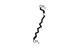 CC=CCCCCCCCC=C=CCC